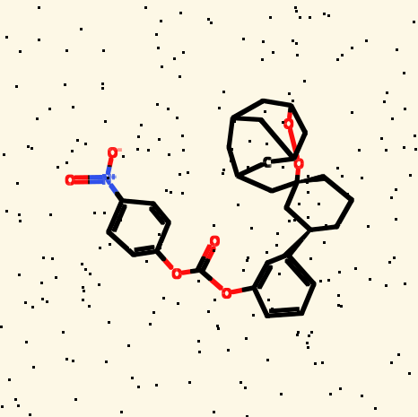 O=C(Oc1ccc([N+](=O)[O-])cc1)Oc1cccc([C@@H]2CCC[C@]3(CC4CC5CC(C4)CC(C5)OO3)C2)c1